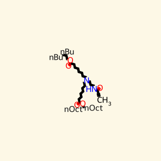 CC#CC(=O)NCCCN(CCCCCCCC(=O)OCCC(CCCC)CCCC)CCCCCCCC(=O)OC(CCCCCCCC)CCCCCCCC